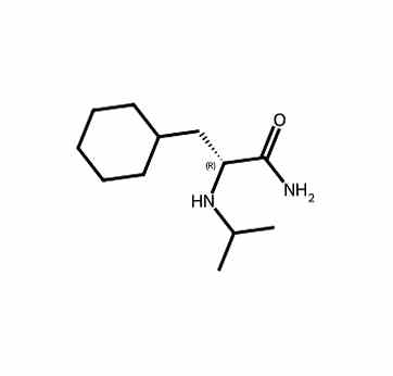 CC(C)N[C@H](CC1CCCCC1)C(N)=O